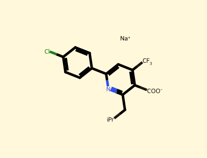 CC(C)Cc1nc(-c2ccc(Cl)cc2)cc(C(F)(F)F)c1C(=O)[O-].[Na+]